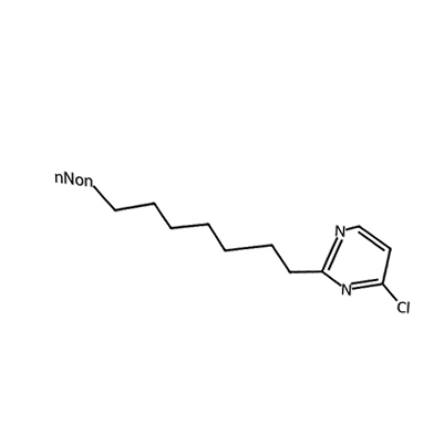 CCCCCCCCCCCCCCCCc1nccc(Cl)n1